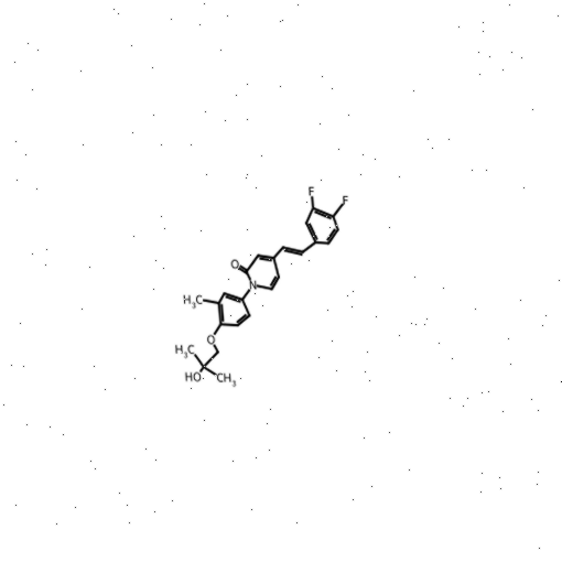 Cc1cc(-n2ccc(C=Cc3ccc(F)c(F)c3)cc2=O)ccc1OCC(C)(C)O